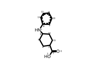 O=C(O)C1CCC(Nc2ccccc2)CC1